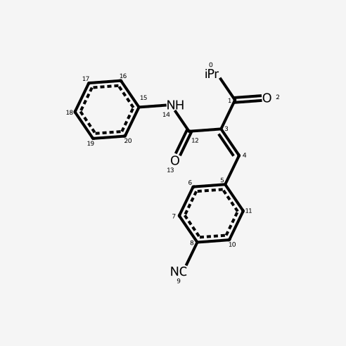 CC(C)C(=O)/C(=C/c1ccc(C#N)cc1)C(=O)Nc1ccccc1